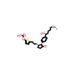 CCCCC[C@@H](O)c1ccc([C@H]2C(=O)CC[C@@H]2CCCc2ccc(OC(=O)O)s2)cc1